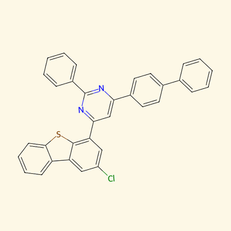 Clc1cc(-c2cc(-c3ccc(-c4ccccc4)cc3)nc(-c3ccccc3)n2)c2sc3ccccc3c2c1